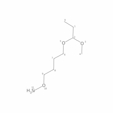 CCC(OC)OCCCCO[SiH3]